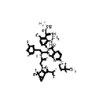 CNc1c(-n2c(C(Cc3cc(F)cc(F)c3)NC(=O)Cn3nc(C(F)F)c4c3C(F)(F)C3CC43)nc3nc(OCCC(C)(F)F)ccc3c2=O)ccc(Cl)c1C(=N)N[S+](C)[O-]